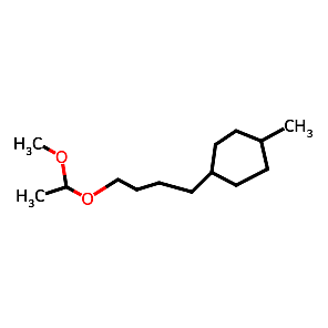 COC(C)OCCCCC1CCC(C)CC1